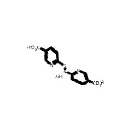 O=C(O)c1ccc(SSc2ccc(C(=O)O)cn2)nc1.[LiH]